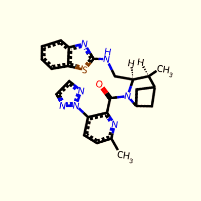 Cc1ccc(-n2nccn2)c(C(=O)N2C3CC(C3)[C@H](C)[C@@H]2CNc2nc3ccccc3s2)n1